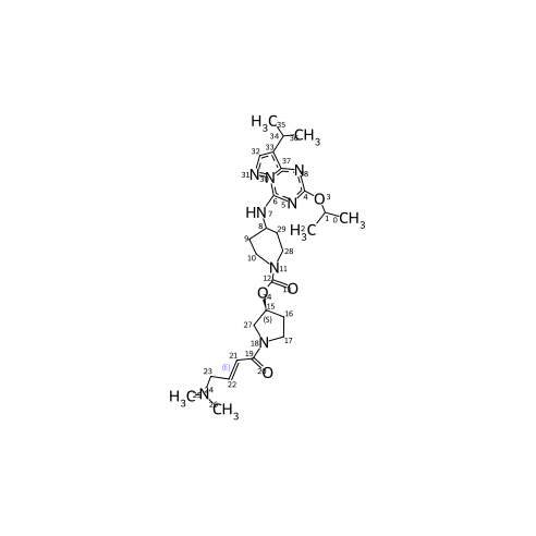 CC(C)Oc1nc(NC2CCN(C(=O)O[C@H]3CCN(C(=O)/C=C/CN(C)C)C3)CC2)n2ncc(C(C)C)c2n1